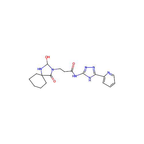 O=C(CCN1C(=O)C2(CCCCC2)NC1O)Nc1nnc(-c2ccccn2)[nH]1